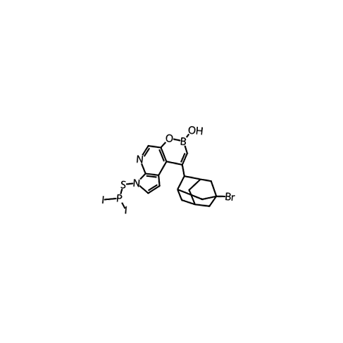 OB1C=C(C2C3CC4CC2CC(Br)(C4)C3)c2c(cnc3c2ccn3SP(I)I)O1